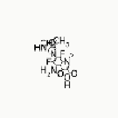 CNC1CN(c2c(F)c(N)c3c(=O)c(C(=O)O)cn(C4CC4)c3c2F)CC1OC